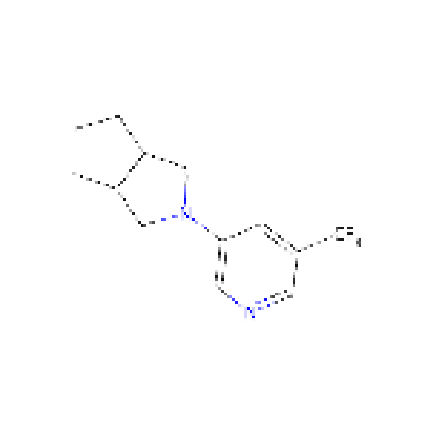 FC(F)(F)c1cncc(N2CC3CCCC3C2)c1